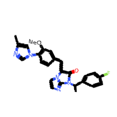 COc1cc(/C=c2/c(=O)n(C(C)c3ccc(F)cc3)c3nccn23)ccc1-n1cnc(C)c1